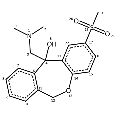 CN(C)CC1(O)c2ccccc2COc2ccc(S(C)(=O)=O)cc21